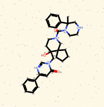 CC1(c2ccccc2)CNCCN1C(=O)N1CCC(O)(Cn2cnc(-c3ccccc3)cc2=O)C2(CCCC2)C1